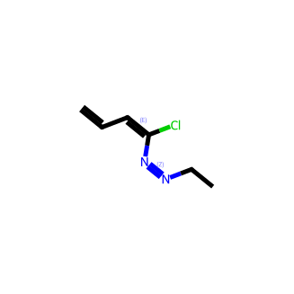 C=C/C=C(Cl)\N=N/CC